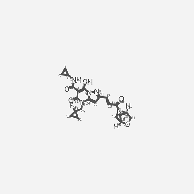 O=C(NC1CC1)c1c(O)n2nc(/C=C/C(=O)N3C[C@@H]4C[C@H]3CO4)cc2n(CC2(F)CC2)c1=O